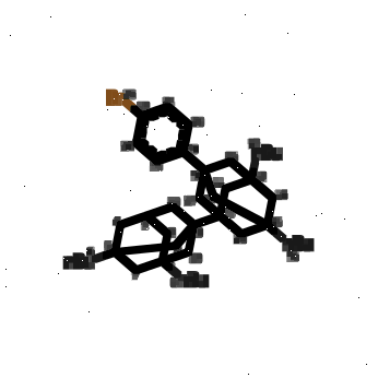 CCCCC12CC3CC(CCCC)(C1)CC(C14CC5(CCCC)CC(CCCC)(CC(c6ccc(Br)cc6)(C5)C1)C4)(C3)C2